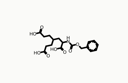 O=C(O)CCC(CCC(=O)O)CC(NC(=O)OCc1ccccc1)C(=O)O